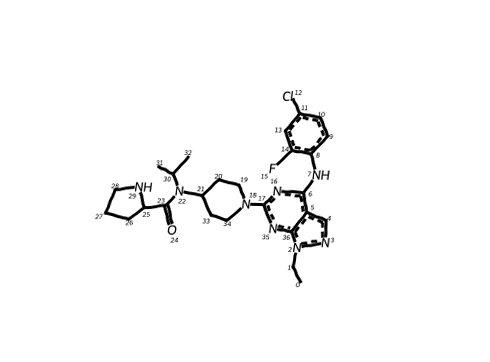 CCn1ncc2c(Nc3ccc(Cl)cc3F)nc(N3CCC(N(C(=O)C4CCCN4)C(C)C)CC3)nc21